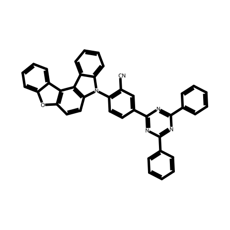 N#Cc1cc(-c2nc(-c3ccccc3)nc(-c3ccccc3)n2)ccc1-n1c2ccccc2c2c3c(ccc21)oc1ccccc13